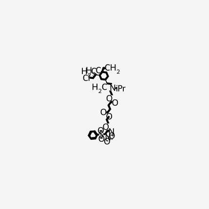 C=C[C@]1(C)CC[C@@H](C(=C)CN(CCOC(=O)CCC(=O)OCCOc2no[n+]([O-])c2S(=O)(=O)c2ccccc2)C(C)C)C[C@H]1C(=C)CCl